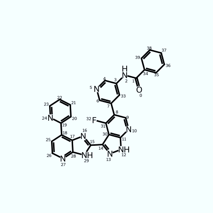 O=C(Nc1cncc(-c2cnc3[nH]nc(-c4nc5c(-c6ccccn6)ccnc5[nH]4)c3c2F)c1)c1ccccc1